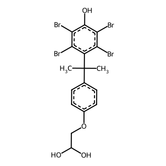 CC(C)(c1ccc(OCC(O)O)cc1)c1c(Br)c(Br)c(O)c(Br)c1Br